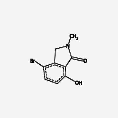 CN1Cc2c(Br)ccc(O)c2C1=O